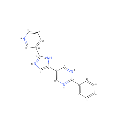 c1ccc(-c2ncc(-c3cnc(-c4cccnc4)[nH]3)cn2)cc1